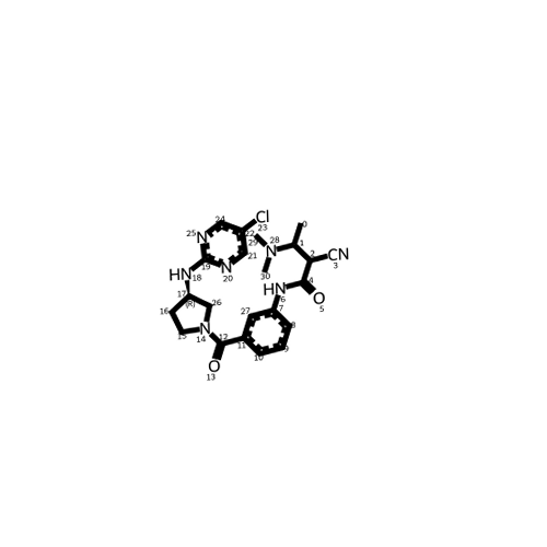 CC(C(C#N)C(=O)Nc1cccc(C(=O)N2CC[C@@H](Nc3ncc(Cl)cn3)C2)c1)N(C)C